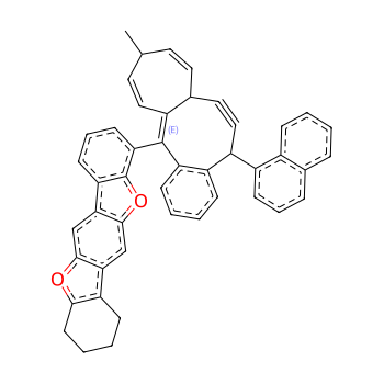 CC1C=C/C2=C(\c3cccc4c3oc3cc5c6c(oc5cc34)CCCC6)c3ccccc3C(c3cccc4ccccc34)C#CC2C=C1